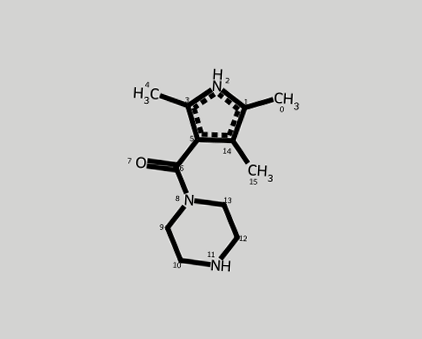 Cc1[nH]c(C)c(C(=O)N2CCNCC2)c1C